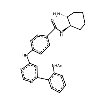 CC(=O)Nc1ccccc1-c1cc(Nc2ccc(C(=O)N[C@@H]3CCCC[C@H]3N)cc2)ncn1